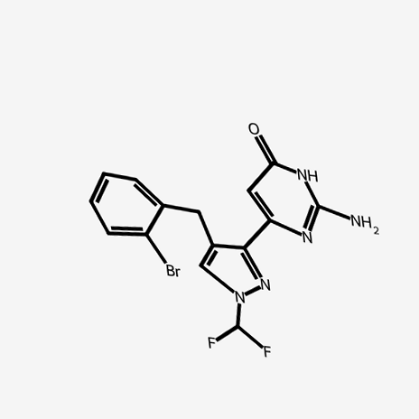 Nc1nc(-c2nn(C(F)F)cc2Cc2ccccc2Br)cc(=O)[nH]1